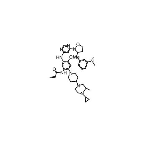 C=CC(=O)Nc1cc(Nc2cc(N3OCCC3Cc3cccc(N(C)C)c3)ncn2)c(OC)cc1N1CCC(N2CCN(C3CC3)C(C)C2)CC1